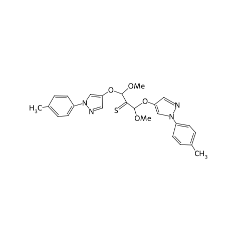 COC(Oc1cnn(-c2ccc(C)cc2)c1)C(=S)C(OC)Oc1cnn(-c2ccc(C)cc2)c1